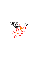 O=P([O-])([O-])OP(=O)([O-])[O-].[Fe].[Mn+2].[Na+].[Na+]